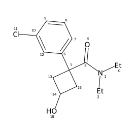 CCN(CC)C(=O)C1(c2cccc(Cl)c2)CC(O)C1